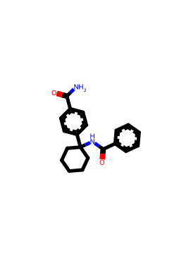 NC(=O)c1ccc(C2(NC(=O)c3ccccc3)CCCCC2)cc1